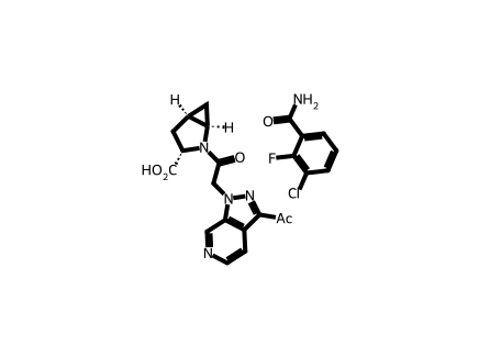 CC(=O)c1nn(CC(=O)N2[C@@H]3C[C@@H]3C[C@H]2C(=O)O)c2cnccc12.NC(=O)c1cccc(Cl)c1F